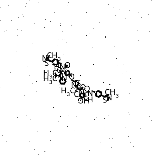 Cc1ncsc1-c1ccc(CNC(=O)[C@@H]2C[C@@H](OCc3csc([C@H](C(=O)N4C[C@H](O)C[C@H]4C(=O)NCc4ccc(-c5scnc5C)cc4)C(C)C)n3)CN2C(=O)[C@@H](c2ccccn2)C(C)C)cc1